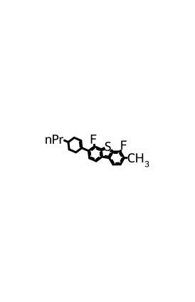 CCCC1CC=C(c2ccc3c(sc4c(F)c(C)ccc43)c2F)CC1